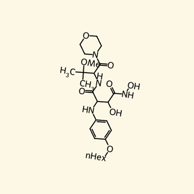 CCCCCCOc1ccc(NC(C(=O)NC(C(=O)N2CCOCC2)C(C)(C)OC)C(O)C(=O)NO)cc1